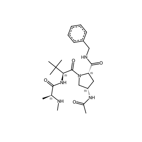 CN[C@@H](C)C(=O)N[C@H](C(=O)N1C[C@@H](NC(C)=O)C[C@H]1C(=O)NCc1ccccc1)C(C)(C)C